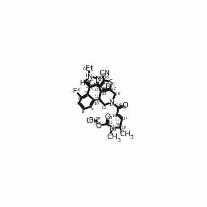 CCn1cc(-c2c(F)cccc2[C@@H]2CN(C(=O)/C=C/[C@@H](C)N(C)C(=O)OC(C)(C)C)Cc3sc(C#N)c(C)c32)c(C(F)(F)F)n1